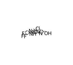 C[C@H]1CN(c2ncc(CO)cc2Cl)CCN1c1nc2ccc(C(F)(F)F)cc2[nH]1